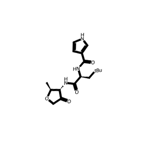 C[C@@H]1OCC(=O)[C@H]1NC(=O)[C@H](CC(C)(C)C)NC(=O)c1cc[nH]c1